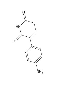 Nc1ccc(C2CCC(=O)NC2=O)cc1